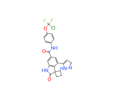 O=C(Nc1ccc(OC(F)(F)Cl)cc1)c1cc2c(c(-c3ccn[nH]3)c1)C1(CCC1)C(=O)N2